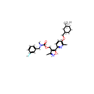 Cc1nc(-c2onc(C)c2COC(=O)N(C)Cc2cccc(F)c2)ccc1OCC1CCC[C@H](C(=O)O)C1